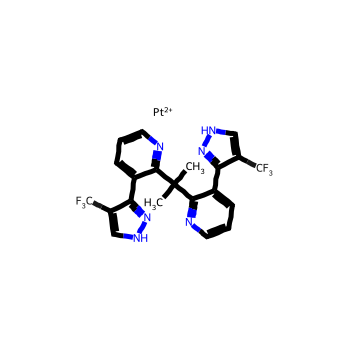 CC(C)(c1ncccc1-c1n[nH]cc1C(F)(F)F)c1ncccc1-c1n[nH]cc1C(F)(F)F.[Pt+2]